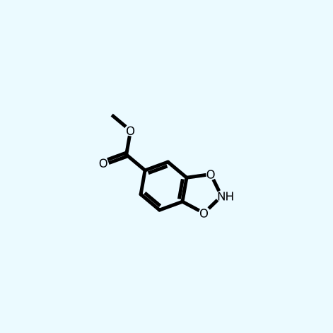 COC(=O)c1ccc2c(c1)ONO2